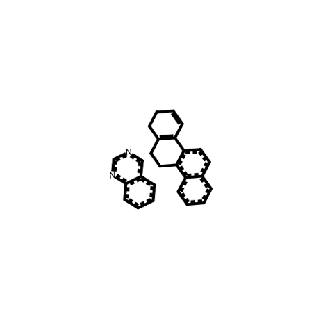 C1=CC2=C(CC1)CCc1c2ccc2ccccc12.c1ccc2ncncc2c1